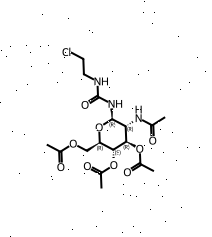 CC(=O)N[C@@H]1[C@@H](OC(C)=O)[C@H](OC(C)=O)[C@@H](COC(C)=O)O[C@H]1NC(=O)NCCCl